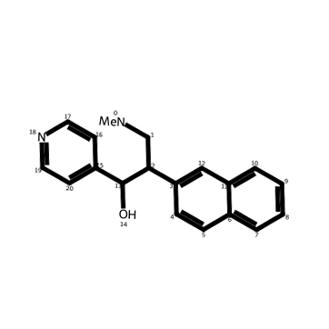 CNCC(c1ccc2ccccc2c1)C(O)c1ccncc1